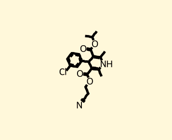 CC1=C(C(=O)OCCC#N)C(c2cccc(Cl)c2)C(C(=O)OC(C)C)=C(C)N1